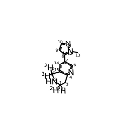 [2H]C1([2H])Cc2ncc(-c3ccnn3C)cc2C([2H])([2H])N1